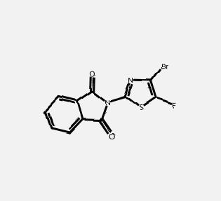 O=C1c2ccccc2C(=O)N1c1nc(Br)c(F)s1